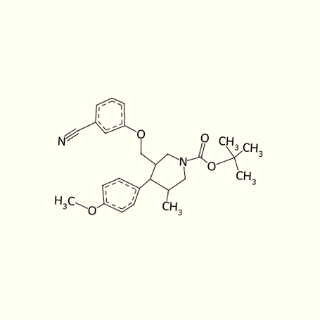 COc1ccc(C2C(C)CN(C(=O)OC(C)(C)C)CC2COc2cccc(C#N)c2)cc1